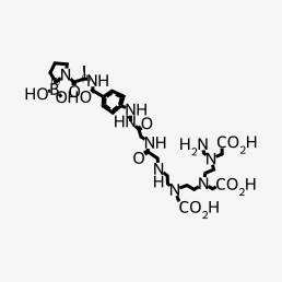 C[C@@H](NC(=O)c1ccc(NNC(=O)CNC(=O)CNCCN(CCN(CCN(CN)CC(=O)O)CC(=O)O)CC(=O)O)cc1)C(=O)N1CCC[C@H]1B(O)O